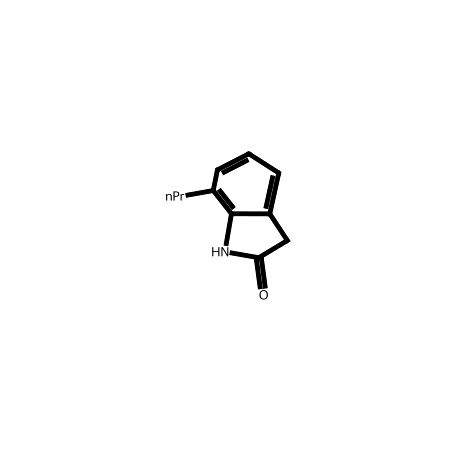 CCCc1cccc2c1NC(=O)C2